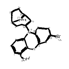 Oc1cccc2c1Sc1cc(Br)ccc1N2C1CC2CCC(C1)N2